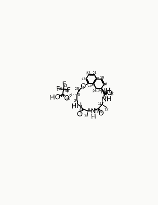 C[C@H]1CNC(=O)[C@H](C)NC(=O)[C@H](C)NC(=O)[C@]2(N)C=Cc3cccc(c3C2)OC1.O=C(O)C(F)(F)F